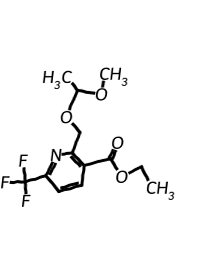 CCOC(=O)c1ccc(C(F)(F)F)nc1COC(C)OC